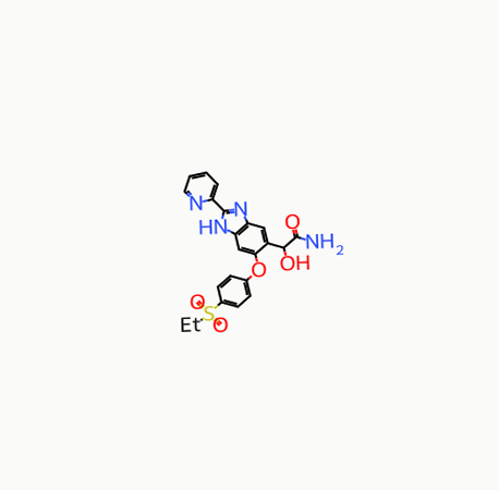 CCS(=O)(=O)c1ccc(Oc2cc3[nH]c(-c4ccccn4)nc3cc2C(O)C(N)=O)cc1